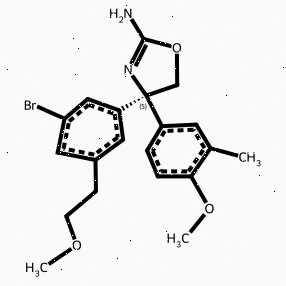 COCCc1cc(Br)cc([C@@]2(c3ccc(OC)c(C)c3)COC(N)=N2)c1